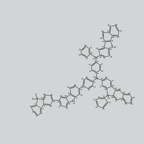 CC1(C)c2ccccc2-c2cc(-c3ccc4oc5cc(-c6ccc(N(c7ccc(N(c8ccccc8)c8ccc9sc%10c%11ccccc%11ccc%10c9c8)cc7)c7ccc8c9cc%10ccccc%10cc9n(-c9ccccc9)c8c7)cc6)ccc5c4c3)ccc21